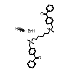 Br.Br.Br.Br.C[N+](C)(CCCCCC[N+](C)(C)Cc1ccc(C(=O)c2ccccc2)cc1)Cc1ccc(C(=O)c2ccccc2)cc1